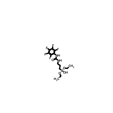 CCO[Si](O)(CCCNC(=O)Nc1c(F)c(F)c(F)c(F)c1F)OCC